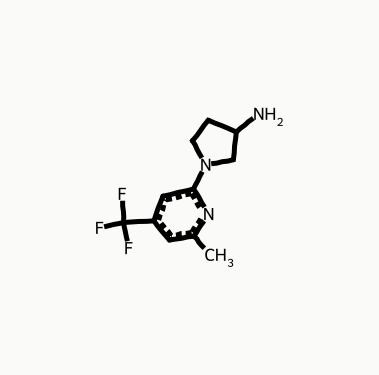 Cc1cc(C(F)(F)F)cc(N2CCC(N)C2)n1